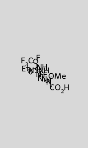 CC[C@@H]1CCCN1CC1=C(c2cc(F)cc(C(F)(F)F)c2)NC(Nc2ncnc(N3CCN(CCC(=O)O)[C@H](COC)C3)c2F)S1